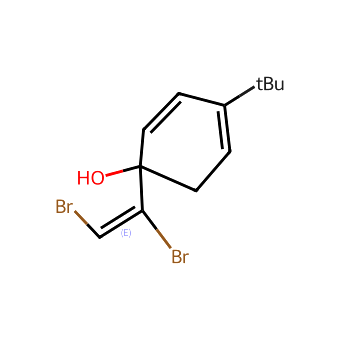 CC(C)(C)C1=CCC(O)(/C(Br)=C\Br)C=C1